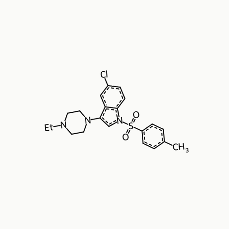 CCN1CCN(c2cn(S(=O)(=O)c3ccc(C)cc3)c3ccc(Cl)cc23)CC1